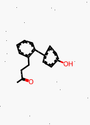 CC(=O)CCc1ccccc1-c1ccc(O)cc1